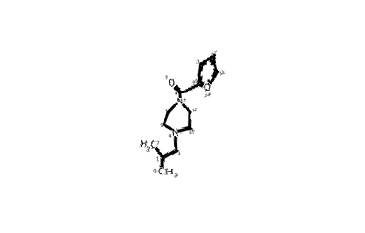 CC(C)CN1CCN(C(=O)c2ccco2)CC1